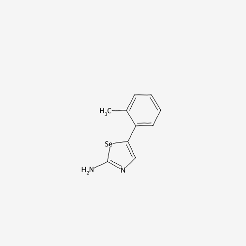 Cc1ccccc1-c1cnc(N)[se]1